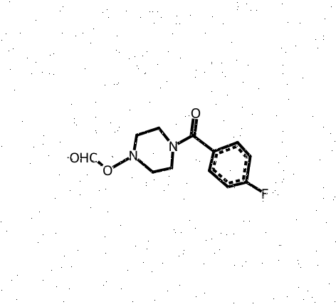 O=[C]ON1CCN(C(=O)c2ccc(F)cc2)CC1